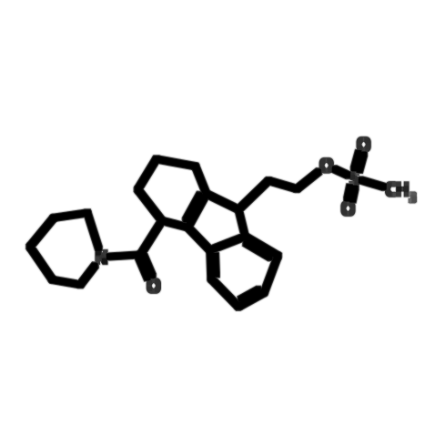 CS(=O)(=O)OCCC1C2=C(c3ccccc31)C(C(=O)N1CCCCC1)CCC2